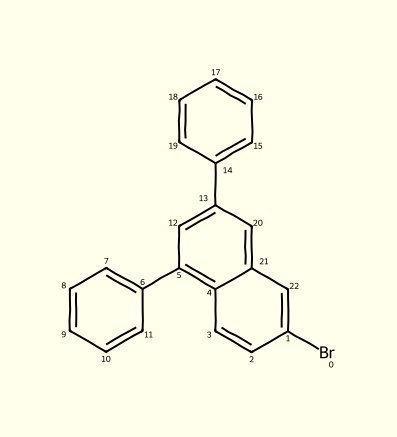 Brc1ccc2c(-c3ccccc3)cc(-c3ccccc3)cc2c1